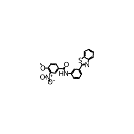 COc1ccc(C(=O)Nc2cccc(-c3nc4ccccc4s3)c2)cc1[N+](=O)[O-]